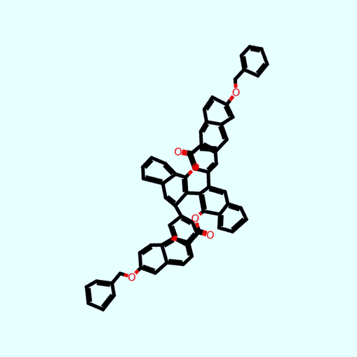 O=C(Oc1c(-c2c(-c3ccccc3)cc3ccccc3c2OC(=O)c2ccc3cc(OCc4ccccc4)ccc3c2)c(-c2ccccc2)cc2ccccc12)c1ccc2cc(OCc3ccccc3)ccc2c1